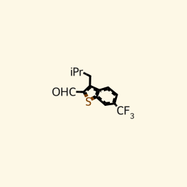 CC(C)Cc1c(C=O)sc2cc(C(F)(F)F)ccc12